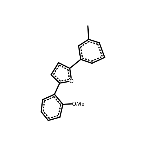 COc1ccccc1-c1ccc(-c2cccc(C)c2)o1